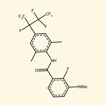 CNc1cccc(C(=O)Nc2c(C)cc(C(F)(C(F)(F)F)C(F)(F)C(F)(F)F)cc2C)c1F